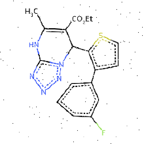 CCOC(=O)C1=C(C)Nc2nnnn2C1c1sccc1-c1cccc(F)c1